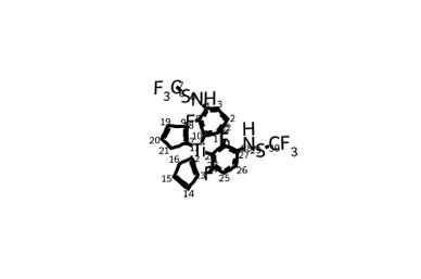 Fc1ccc(NSC(F)(F)F)c(F)[c]1[Ti]([C]1=CC=CC1)([C]1=CC=CC1)[c]1c(F)ccc(NSC(F)(F)F)c1F